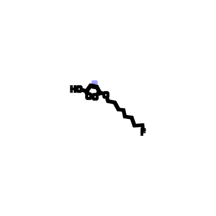 O=C(O)/C=C\C(=O)OCCCCCCCCF